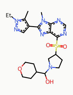 CCn1ncc(-c2nc3c(S(=O)(=O)C4CCN(C(O)C5CCOCC5)C4)ncnc3n2C)c1C